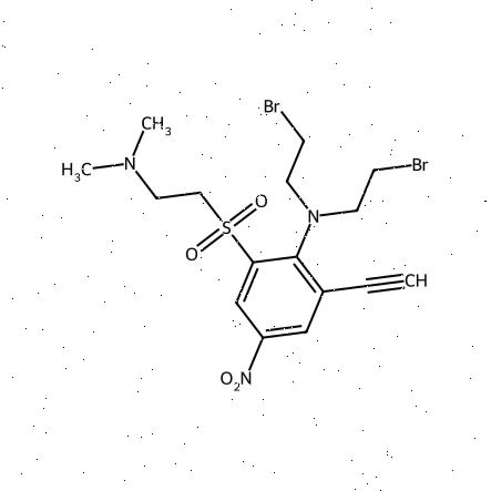 C#Cc1cc([N+](=O)[O-])cc(S(=O)(=O)CCN(C)C)c1N(CCBr)CCBr